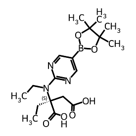 CCN(c1ncc(B2OC(C)(C)C(C)(C)O2)cn1)[C@@](CC)(CC(=O)O)C(=O)O